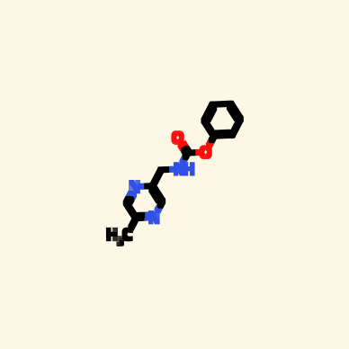 Cc1cnc(CNC(=O)Oc2ccccc2)cn1